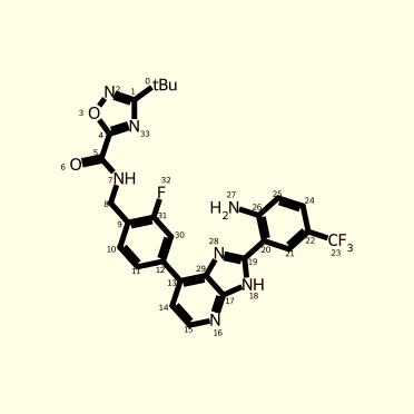 CC(C)(C)c1noc(C(=O)NCc2ccc(-c3ccnc4[nH]c(-c5cc(C(F)(F)F)ccc5N)nc34)cc2F)n1